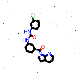 O=C(Nc1cccc(Cl)c1)Nc1cccc(C(=O)n2ccc3cccnc32)c1